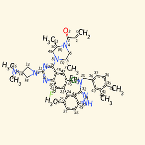 C=CC(=O)N1C[C@H](C)N(c2nc(N3CC(N(C)C)C3)nc3c(F)c(-c4c(C)ccc5[nH]nc(N(CC)Cc6ccc(C)c(C)c6)c45)c(Cl)cc23)C[C@H]1C